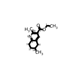 CCOC(=O)c1cc2c(nc1C)CCC(C)C2